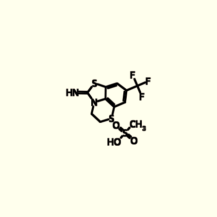 CS(=O)(=O)O.N=c1sc2cc(C(F)(F)F)cc3c2n1CCS3